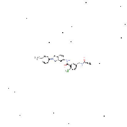 CC(C)(C)C(=O)NCc1ccc(Cl)c(C(=O)Nc2ccc3c(c2)CN(C2=CC=CC(C(F)(F)F)C=C2)C3)c1